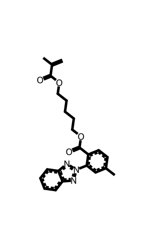 C=C(C)C(=O)OCCCCCOC(=O)c1ccc(C)cc1-n1nc2ccccc2n1